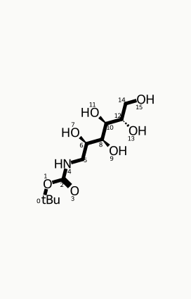 CC(C)(C)OC(=O)NC[C@@H](O)[C@H](O)[C@@H](O)[C@@H](O)CO